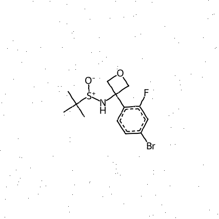 CC(C)(C)[S+]([O-])NC1(c2ccc(Br)cc2F)COC1